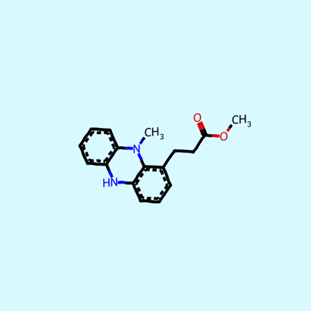 COC(=O)CCc1cccc2c1N(C)c1ccccc1N2